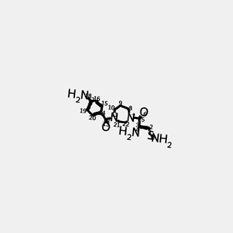 NS/C=C(\N)C(=O)N1CCCN(C(=O)c2ccc(N)cc2)CC1